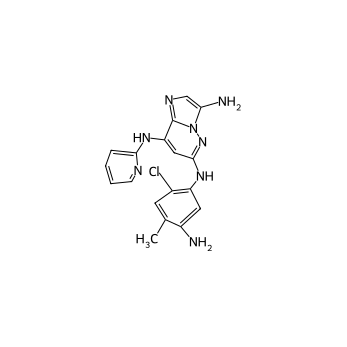 Cc1cc(Cl)c(Nc2cc(Nc3ccccn3)c3ncc(N)n3n2)cc1N